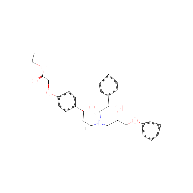 CCOC(=O)COc1ccc(CC[C@@H](C)N(C[C@H](O)COc2ccccc2)[C@H](O)Cc2ccccc2)cc1